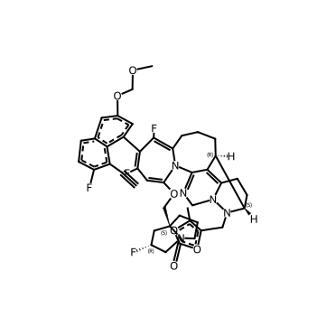 C#Cc1c(F)ccc2cc(OCOC)cc(C3=C(F)C=C(OC[C@@]45CCCN4C[C@H](F)C5)N4C5=NCN6C7=C5[C@@H](CCCC4=C3F)[C@H](CC7)N6Cc3oc(=O)oc3C)c12